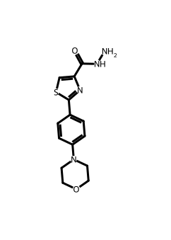 NNC(=O)c1csc(-c2ccc(N3CCOCC3)cc2)n1